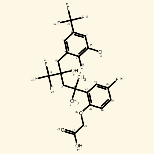 CC(C)(CC(O)(Cc1cc(C(F)(F)F)cc(Cl)c1F)C(F)(F)F)c1cc(F)ccc1OCC(=O)O